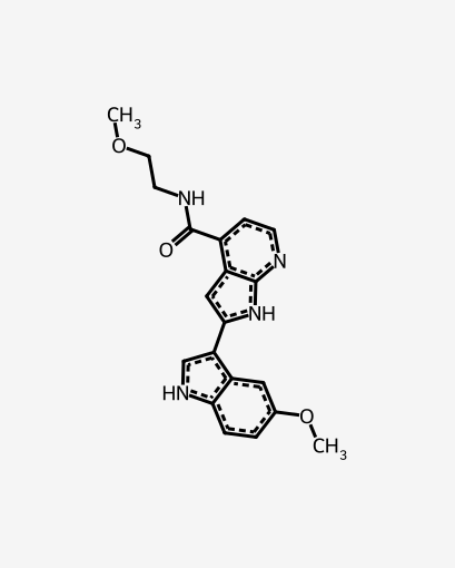 COCCNC(=O)c1ccnc2[nH]c(-c3c[nH]c4ccc(OC)cc34)cc12